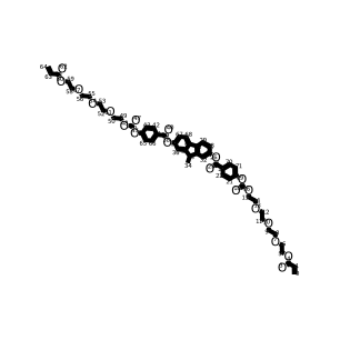 C=CC(=O)OCCOCCOCCOCCOC(=O)Oc1ccc(C(=O)Oc2ccc3c(c2)C(C)c2cc(OC(=O)c4ccc(OC(=O)OCCOCCOCCOCCOC(=O)C=C)cc4)ccc2-3)cc1